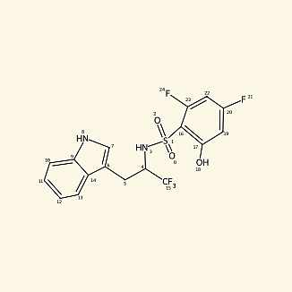 O=S(=O)(NC(Cc1c[nH]c2ccccc12)C(F)(F)F)c1c(O)cc(F)cc1F